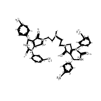 CN(CCN1CC2=C(C1=O)[C@@H](c1ccc(N)cc1)NC(=O)N2c1cccc(C(F)(F)F)c1)CCN1CC2=C(C1=O)[C@@H](c1ccc(N)cc1)NC(=O)N2c1cccc(C(F)(F)F)c1